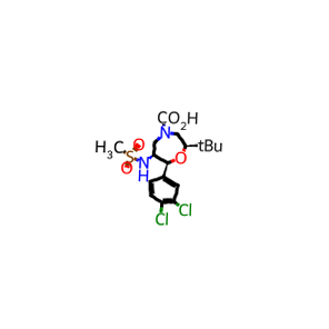 CC(C)(C)[C@@H]1CN(C(=O)O)C[C@H](NS(C)(=O)=O)[C@H](c2ccc(Cl)c(Cl)c2)O1